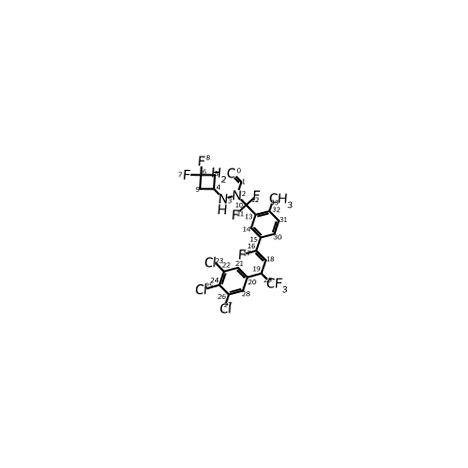 C=CN(NC1CC(F)(F)C1)C(F)(F)c1cc(/C(F)=C/C(c2cc(Cl)c(Cl)c(Cl)c2)C(F)(F)F)ccc1C